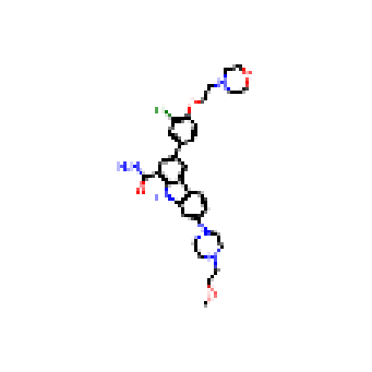 COCCN1CCN(c2ccc3c(c2)[nH]c2c(C(N)=O)cc(-c4ccc(OCCN5CCOCC5)c(Cl)c4)cc23)CC1